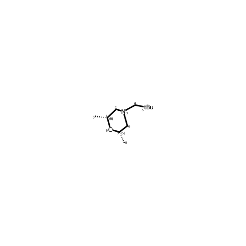 C[C@@H]1CN(CC(C)(C)C)C[C@H](C)O1